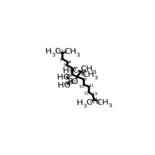 CC(C)CCCCCC(CCCCCC(C)C)(OP(O)O)C(C)(C)C